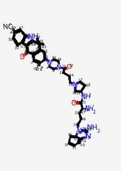 CCc1cc2c(cc1N1CCN(C(=O)CCCN3CC[C@@H](NC(=O)[C@@H](N)CCCn4c(N)nc5ccccc54)C3)CC1)C(C)(C)c1[nH]c3cc(C#N)ccc3c1C2=O